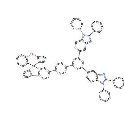 c1ccc(-c2nc3cc(-c4cc(-c5ccc(-c6ccc7c(c6)C6(c8ccccc8Oc8ccccc86)c6ccccc6-7)cc5)cc(-c5ccc6c(c5)nc(-c5ccccc5)n6-c5ccccc5)c4)ccc3n2-c2ccccc2)cc1